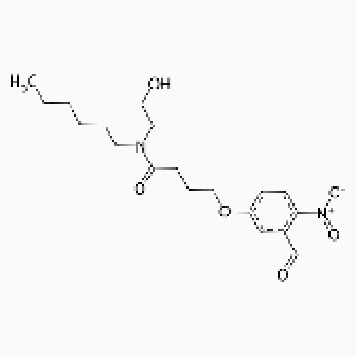 CCCCCCN(CCO)C(=O)CCCOc1ccc([N+](=O)[O-])c(C=O)c1